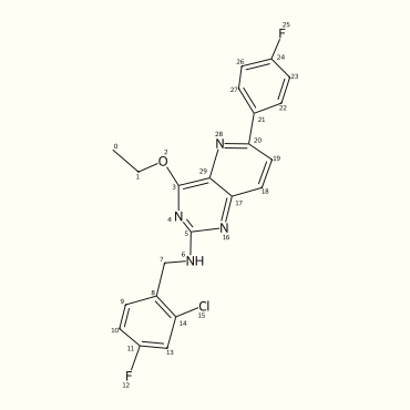 CCOc1nc(NCc2ccc(F)cc2Cl)nc2ccc(-c3ccc(F)cc3)nc12